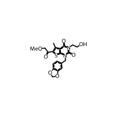 COCC(=O)c1sc2c(c1C)c(=O)n(CCO)c(=O)n2Cc1ccc2c(c1)OCO2